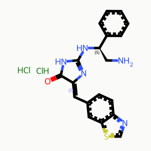 Cl.Cl.NC[C@@H](NC1=N/C(=C\c2ccc3ncsc3c2)C(=O)N1)c1ccccc1